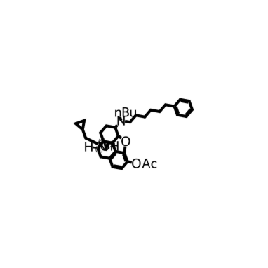 CCCCN(CCCCCCc1ccccc1)C1CC[C@@]2(O)[C@H]3Cc4ccc(OC(C)=O)c5c4[C@@]2(CCN3CC2CC2)C1O5